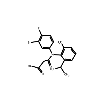 Cc1cccc(C(C)C)c1N(C(=O)CC(=O)O)c1ccc(F)c(Br)c1